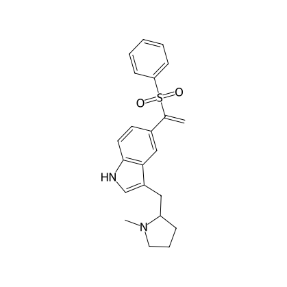 C=C(c1ccc2[nH]cc(CC3CCCN3C)c2c1)S(=O)(=O)c1ccccc1